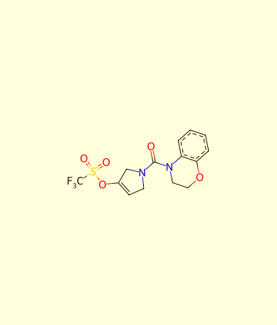 O=C(N1CC=C(OS(=O)(=O)C(F)(F)F)C1)N1CCOc2ccccc21